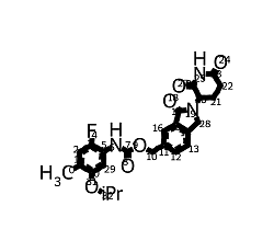 Cc1cc(F)c(NC(=O)OCc2ccc3c(c2)C(=O)N(C2CCC(=O)NC2=O)C3)cc1OC(C)C